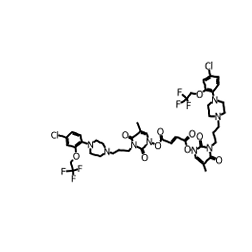 Cc1cn(OC(=O)/C=C/C(=O)On2cc(C)c(=O)n(CCCN3CCN(c4ccc(Cl)cc4OCC(F)(F)F)CC3)c2=O)c(=O)n(CCCN2CCN(c3ccc(Cl)cc3OCC(F)(F)F)CC2)c1=O